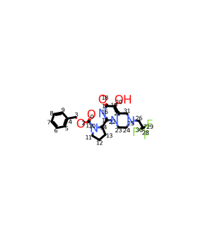 O=C(OCc1ccccc1)N1CCCC1c1nc(=O)c(O)c2n1CCN(CC(F)(F)F)C2